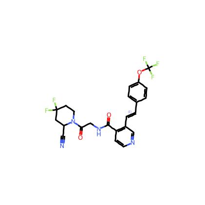 N#CC1CC(F)(F)CCN1C(=O)CNC(=O)c1ccncc1/C=C/c1ccc(OC(F)(F)F)cc1